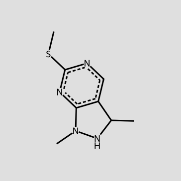 CSc1ncc2c(n1)N(C)NC2C